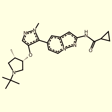 C[C@H]1CN(C(C)(C)C)C[C@H]1Oc1cnn(C)c1-c1ccn2nc(NC(=O)C3CC3)cc2c1